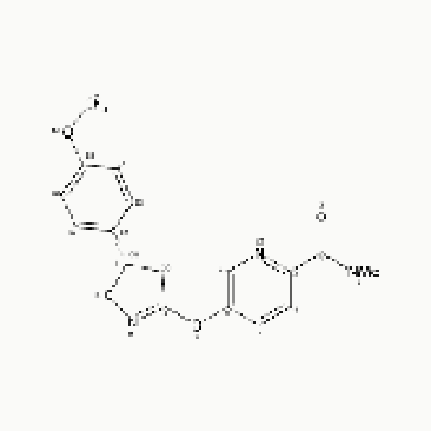 CNC(=O)c1ccc(OC2=NO[C@H](c3ccc(OC(F)(F)F)cc3)C2)cn1